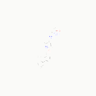 Cc1c(COc2ccc(CNCC3CCC(=O)N3)cn2)cccc1-c1ccccc1